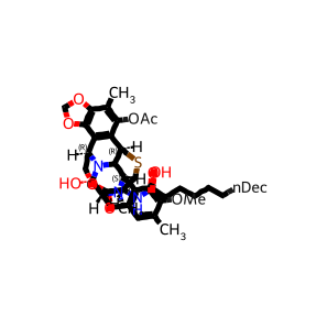 CCCCCCCCCCCCCCCC(=O)N[C@H]1CS[C@@H]2c3c(OC(C)=O)c(C)c4c(c3[C@H](COC1=O)N1C2[C@@H]2c3c(cc(C)c(OC)c3O)C[C@H]([C@@H]1O)N2C)OCO4